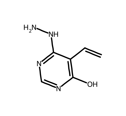 C=Cc1c(O)ncnc1NN